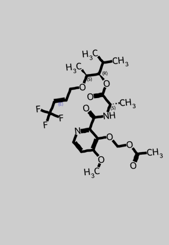 COc1ccnc(C(=O)N[C@@H](C)C(=O)O[C@H](C(C)C)[C@H](C)OC/C=C/C(F)(F)F)c1OCOC(C)=O